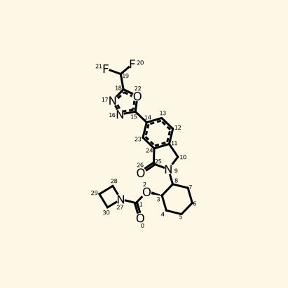 O=C(O[C@@H]1CCCCC1N1Cc2ccc(-c3nnc(C(F)F)o3)cc2C1=O)N1CCC1